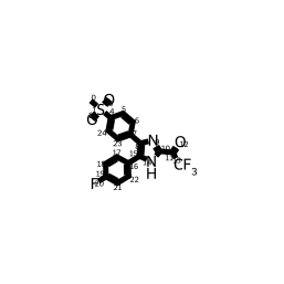 CS(=O)(=O)c1ccc(-c2nc(C(=O)C(F)(F)F)[nH]c2-c2ccc(F)cc2)cc1